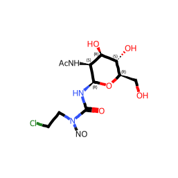 CC(=O)N[C@H]1[C@@H](O)[C@H](O)[C@@H](CO)O[C@H]1NC(=O)N(CCCl)N=O